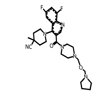 CC1(C#N)CCN(c2c(C(=O)N3CCN(COCN4CCCC4)CC3)cnc3c(F)cc(F)cc23)CC1